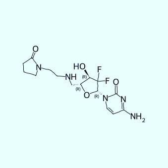 Nc1ccn([C@@H]2O[C@H](CNCCN3CCCC3=O)[C@@H](O)C2(F)F)c(=O)n1